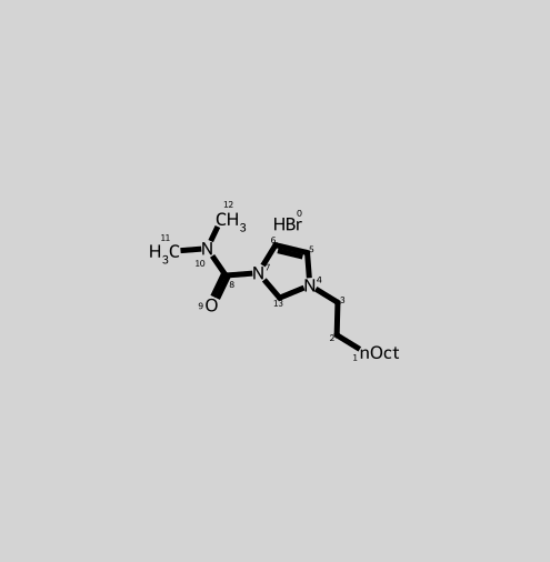 Br.CCCCCCCCCCN1C=CN(C(=O)N(C)C)C1